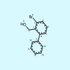 OCc1c(Br)cccc1-c1ccccc1